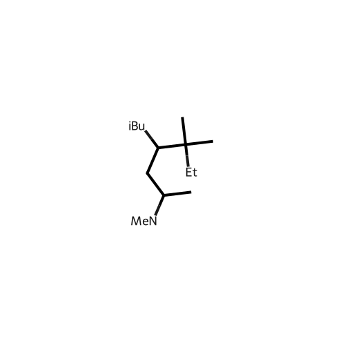 CCC(C)C(CC(C)NC)C(C)(C)CC